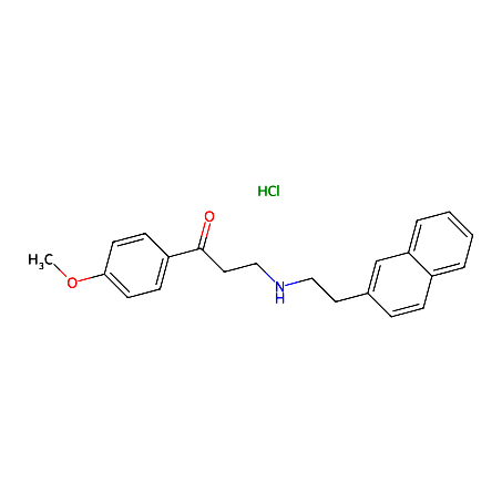 COc1ccc(C(=O)CCNCCc2ccc3ccccc3c2)cc1.Cl